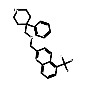 FC(F)(F)c1cccc2nc(COCC3(c4ccccc4)CCNCC3)ccc12